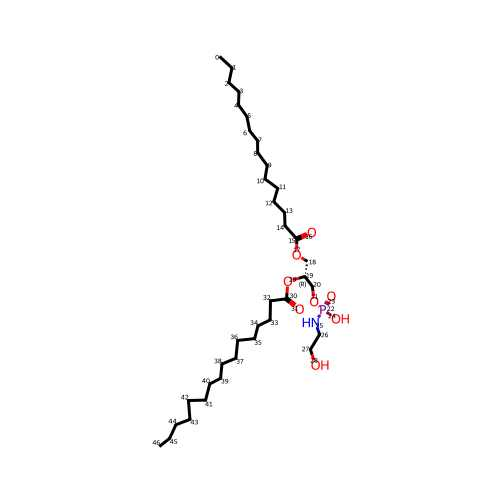 CCCCCCCCCCCCCCCC(=O)OC[C@H](COP(=O)(O)NCCO)OC(=O)CCCCCCCCCCCCCCC